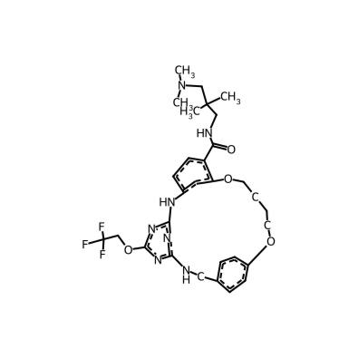 CN(C)CC(C)(C)CNC(=O)c1ccc2cc1OCCCCOc1ccc(cc1)CNc1nc(nc(OCC(F)(F)F)n1)N2